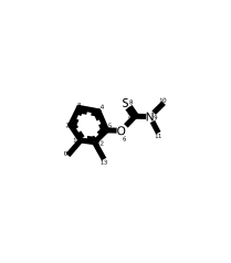 Cc1cccc(OC(=S)N(C)C)c1C